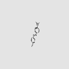 CN(C)c1ccc(N=Nc2ccc(F)cc2)cc1